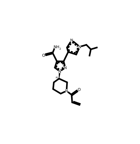 C=CC(=O)N1CCC[C@@H](n2cc(C(N)=O)c(-c3cnn(CC(C)C)c3)n2)C1